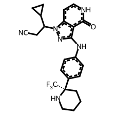 N#CCC(C1CC1)n1nc(Nc2ccc([C@@]3(C(F)(F)F)CCCCN3)cc2)c2c(=O)[nH]ccc21